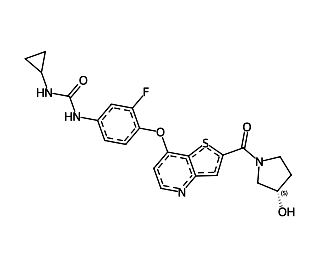 O=C(Nc1ccc(Oc2ccnc3cc(C(=O)N4CC[C@H](O)C4)sc23)c(F)c1)NC1CC1